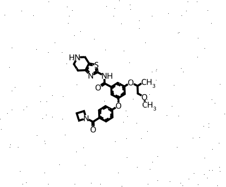 COCC(C)Oc1cc(Oc2ccc(C(=O)N3CCC3)cc2)cc(C(=O)Nc2nc3c(s2)CNCC3)c1